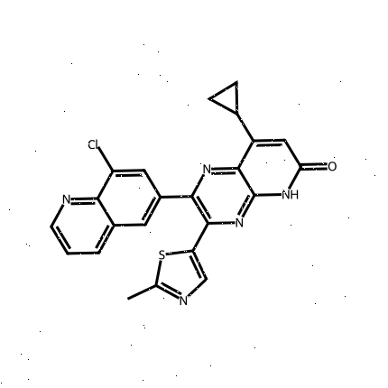 Cc1ncc(-c2nc3[nH]c(=O)cc(C4CC4)c3nc2-c2cc(Cl)c3ncccc3c2)s1